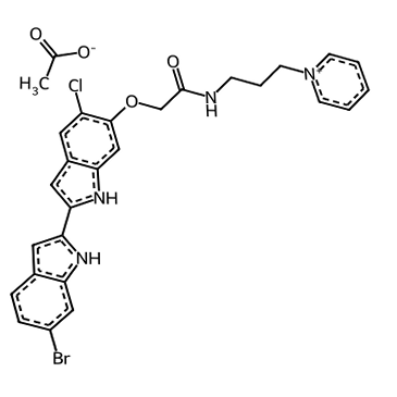 CC(=O)[O-].O=C(COc1cc2[nH]c(-c3cc4ccc(Br)cc4[nH]3)cc2cc1Cl)NCCC[n+]1ccccc1